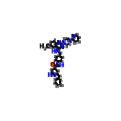 Cc1ccc2nc(N3CCN(c4ccccn4)CC3)nc(NCc3ccc(NC(=O)C4CCNC(Cc5ccccc5)C4)cc3)c2c1